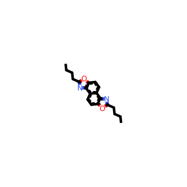 CCCCc1nc2c(ccc3c2ccc2oc(CCCC)nc23)o1